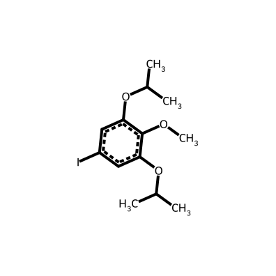 COc1c(OC(C)C)cc(I)cc1OC(C)C